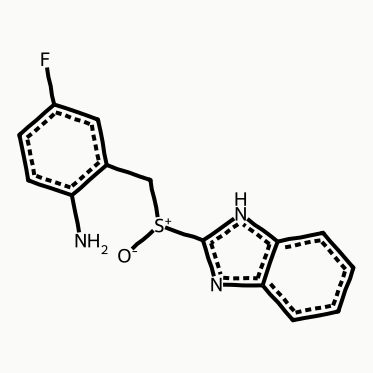 Nc1ccc(F)cc1C[S+]([O-])c1nc2ccccc2[nH]1